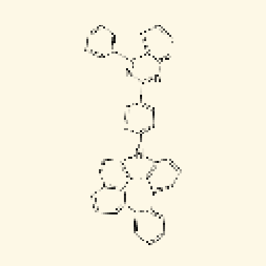 c1ccc(-c2nc(-c3ccc(-n4c5cccc6c5c5c7c(cccc7ccc54)-c4ccccc4-6)cc3)nc3ccccc23)cc1